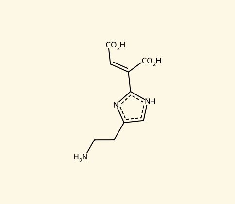 NCCc1c[nH]c(C(=CC(=O)O)C(=O)O)n1